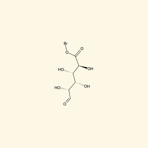 O=C[C@H](O)[C@@H](O)[C@H](O)[C@H](O)C(=O)OBr